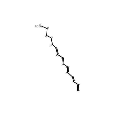 C=C/C=C/C=C/C=C/C=C/CCCCCCCCCCCCC